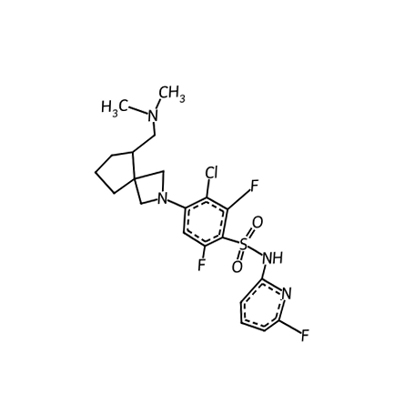 CN(C)CC1CCCC12CN(c1cc(F)c(S(=O)(=O)Nc3cccc(F)n3)c(F)c1Cl)C2